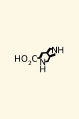 O=C(O)C1=Cc2c[nH]cc2CN1